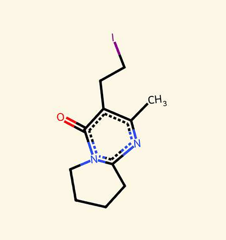 Cc1nc2n(c(=O)c1CCI)CCCC2